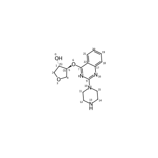 O[C@H]1COC[C@@H]1Oc1nc(N2CCNCC2)nc2ccccc12